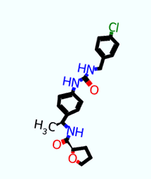 C[C@H](NC(=O)[C@H]1CCCO1)c1ccc(NC(=O)NCc2ccc(Cl)cc2)cc1